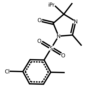 CC1=NC(C)(C(C)C)C(=O)N1S(=O)(=O)c1cc(Cl)ccc1C